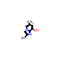 Cc1cc(O)c2nc(C(C)C)cn2c1